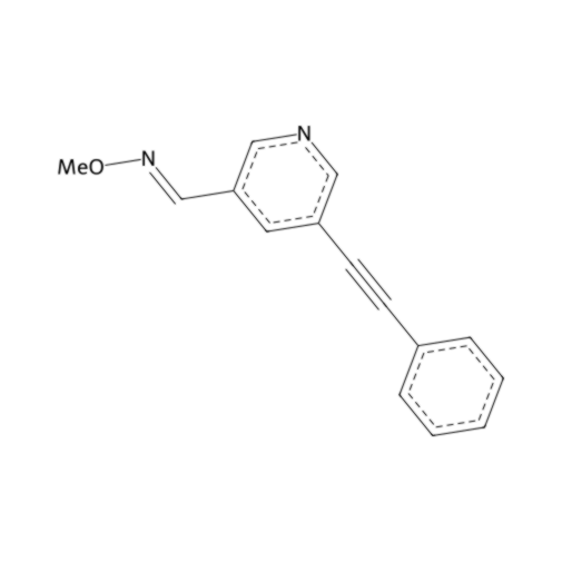 CO/N=C/c1cncc(C#Cc2ccccc2)c1